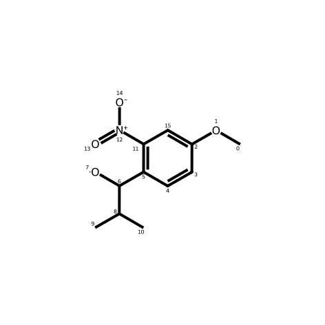 COc1ccc(C([O])C(C)C)c([N+](=O)[O-])c1